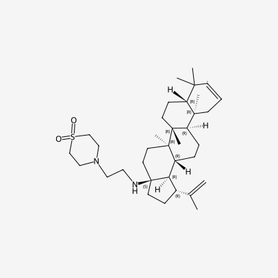 C=C(C)[C@@H]1CC[C@]2(NCCN3CCS(=O)(=O)CC3)CC[C@]3(C)[C@H](CC[C@@H]4[C@]5(C)CC=[C]C(C)(C)[C@H]5CC[C@]43C)[C@@H]12